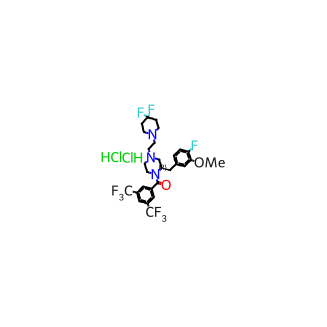 COc1cc(C[C@@H]2CN(CCN3CCC(F)(F)CC3)CCN2C(=O)c2cc(C(F)(F)F)cc(C(F)(F)F)c2)ccc1F.Cl.Cl